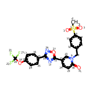 CS(=O)(=O)c1ccc(Cn2cc(-c3nc(-c4ccc(OC(F)(F)F)cc4)no3)ccc2=O)cc1